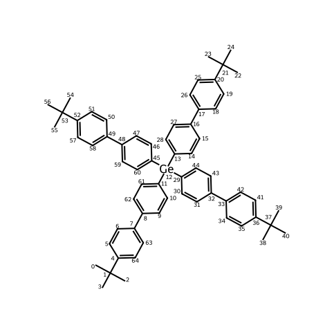 CC(C)(C)c1ccc(-c2cc[c]([Ge]([c]3ccc(-c4ccc(C(C)(C)C)cc4)cc3)([c]3ccc(-c4ccc(C(C)(C)C)cc4)cc3)[c]3ccc(-c4ccc(C(C)(C)C)cc4)cc3)cc2)cc1